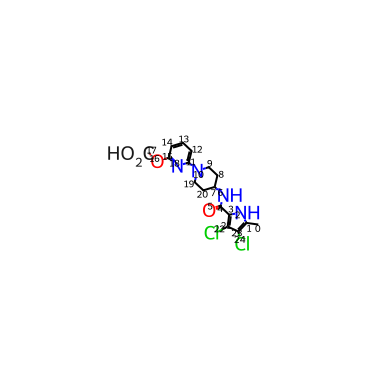 Cc1[nH]c(C(=O)NC2CCN(c3cccc(OC(=O)O)n3)CC2)c(Cl)c1Cl